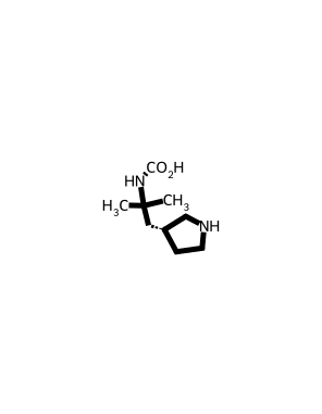 CC(C)(C[C@H]1CCNC1)NC(=O)O